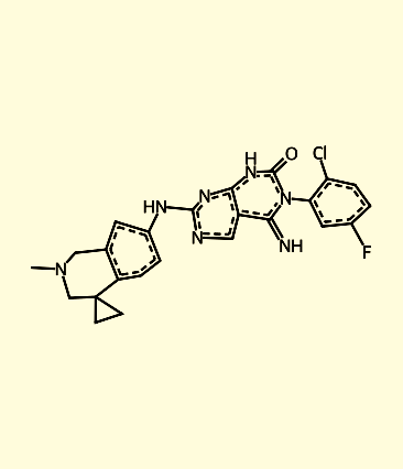 CN1Cc2cc(Nc3ncc4c(=N)n(-c5cc(F)ccc5Cl)c(=O)[nH]c4n3)ccc2C2(CC2)C1